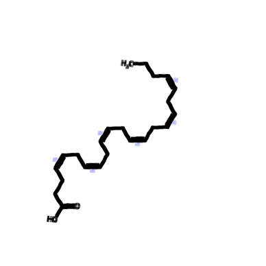 CCC/C=C\C/C=C\C/C=C\C/C=C\C/C=C\C/C=C\CCC(=O)O